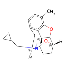 Cc1ccc2c3c1OC1[C@@H]4CCC5(O4)[C@H](C2)N(CC2CC2)CC[C@@]315